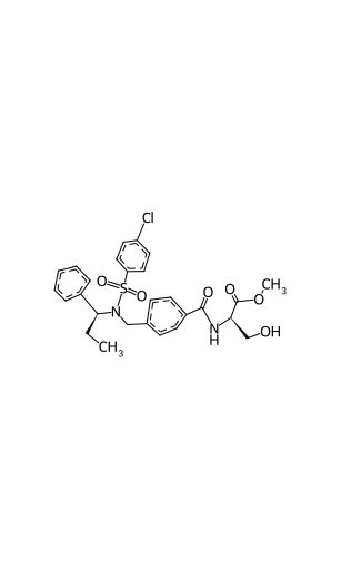 CC[C@@H](c1ccccc1)N(Cc1ccc(C(=O)N[C@H](CO)C(=O)OC)cc1)S(=O)(=O)c1ccc(Cl)cc1